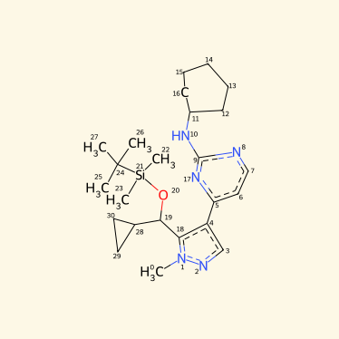 Cn1ncc(-c2ccnc(NC3CCCCC3)n2)c1C(O[Si](C)(C)C(C)(C)C)C1CC1